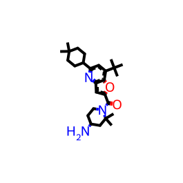 CC1(C)CCC(c2cc(C(C)(C)C)c3oc(C(=O)N4CCC(N)CC4(C)C)cc3n2)CC1